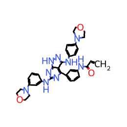 C=CC(=O)Nc1cccc(-c2nc(Nc3cccc(N4CCOCC4)c3)nc3[nH]nc(Nc4ccc(N5CCOCC5)cc4)c23)c1